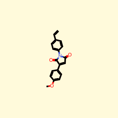 C=Cc1ccc(N2C(=O)C=C(c3ccc(OC)cc3)C2=O)cc1